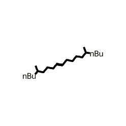 [CH2]CCCC(C)CCC/C=C/CCCCC(C)CCC[CH2]